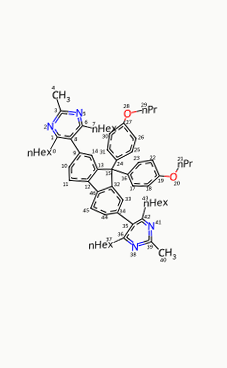 CCCCCCc1nc(C)nc(CCCCCC)c1-c1ccc2c(c1)C(c1ccc(OCCC)cc1)(c1ccc(OCCC)cc1)c1cc(-c3c(CCCCCC)nc(C)nc3CCCCCC)ccc1-2